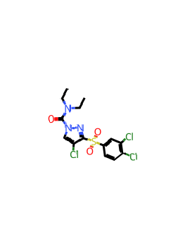 CCN(CC)C(=O)n1cc(Cl)c(S(=O)(=O)c2ccc(Cl)c(Cl)c2)n1